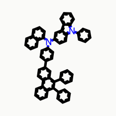 c1ccc(-c2c(-c3ccccc3)c3cc(-c4ccc(N(c5ccc6c(c5)c5ccccc5n6-c5ccccc5)c5cccc6ccccc56)cc4)ccc3c3ccccc23)cc1